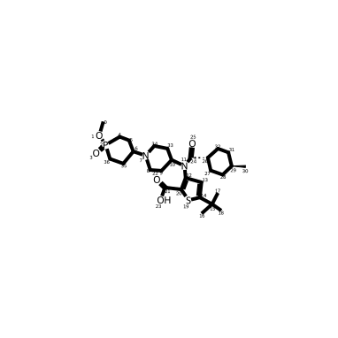 COP1(=O)CCC(N2CCC(N(c3cc(C(C)(C)C)sc3C(=O)O)C(=O)[C@H]3CC[C@H](C)CC3)CC2)CC1